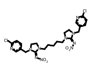 O=[N+]([O-])/N=C1\N(CCCCCN2CCN(Cc3ccc(Cl)nc3)/C2=N/[N+](=O)[O-])CCN1Cc1ccc(Cl)nc1